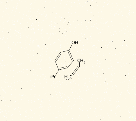 C=C=C.CC(C)c1ccc(O)cc1